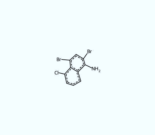 Nc1c(Br)cc(Br)c2c(Cl)cccc12